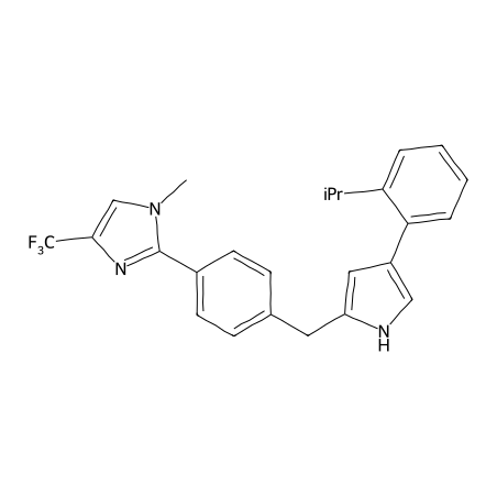 CC(C)c1ccccc1-c1c[nH]c(Cc2ccc(-c3nc(C(F)(F)F)cn3C)cc2)c1